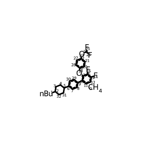 C.CCCCC1CCC(c2ccc(-c3ccc(F)c(F)c3Oc3ccc(OC(F)F)cc3)cc2)CC1